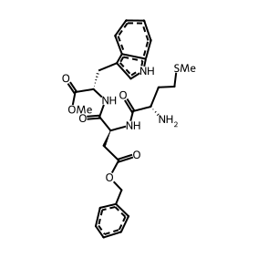 COC(=O)[C@H](Cc1c[nH]c2ccccc12)NC(=O)[C@H](CC(=O)OCc1ccccc1)NC(=O)[C@@H](N)CCSC